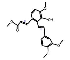 COC(=O)/C=C/c1ccc(OC)c(O)c1/C=C/c1ccc(OC)c(OC)c1